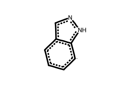 [c]1cccc2cn[nH]c12